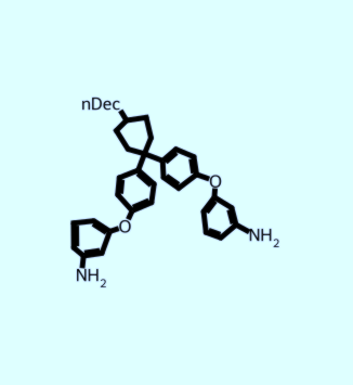 CCCCCCCCCCC1CCC(c2ccc(Oc3cccc(N)c3)cc2)(c2ccc(Oc3cccc(N)c3)cc2)CC1